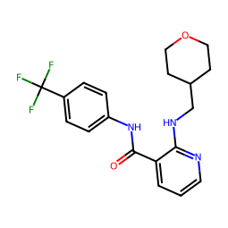 O=C(Nc1ccc(C(F)(F)F)cc1)c1cccnc1NCC1CCOCC1